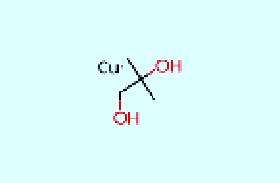 CC(C)(O)CO.[Cu]